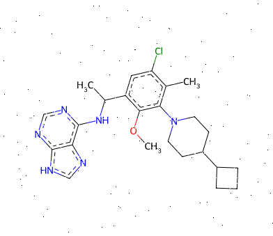 COc1c(C(C)Nc2ncnc3[nH]cnc23)cc(Cl)c(C)c1N1CCC(C2CCC2)CC1